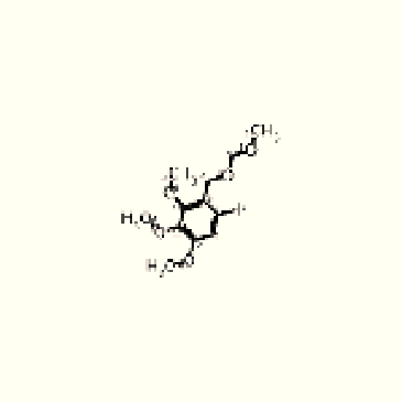 COCOCc1c(I)cc(OC)c(OC)c1OC